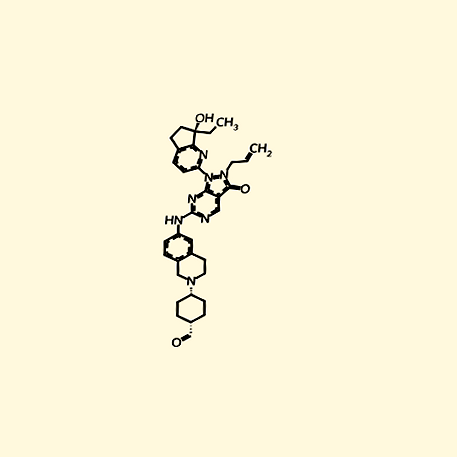 C=CCn1c(=O)c2cnc(Nc3ccc4c(c3)CCN([C@H]3CC[C@@H](C=O)CC3)C4)nc2n1-c1ccc2c(n1)[C@@](O)(CC)CC2